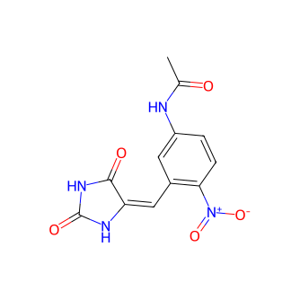 CC(=O)Nc1ccc([N+](=O)[O-])c(C=C2NC(=O)NC2=O)c1